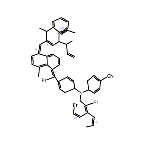 C=CC(C)C(/C=C\C)/C=C(/C=c1/ccc(C)c2/c(=C(\CC)C3=CCC(N(C/C(CC)=C(/C=C\C)\C=C/CC)C4C=CC(C#N)=CC4)C=C3)cccc12)C(C)c1ccccc1